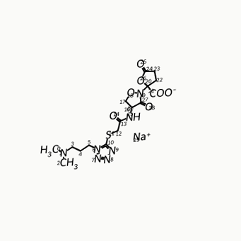 CN(C)CCCn1nnnc1SCC(=O)N[C@H]1CON(C2(C(=O)[O-])CCC(=O)O2)C1=O.[Na+]